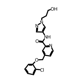 O=C(Nc1cnn(CCCO)c1)c1cc(COc2ccccc2Cl)ccn1